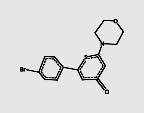 O=c1cc(-c2ccc(Br)cc2)sc(N2CCOCC2)c1